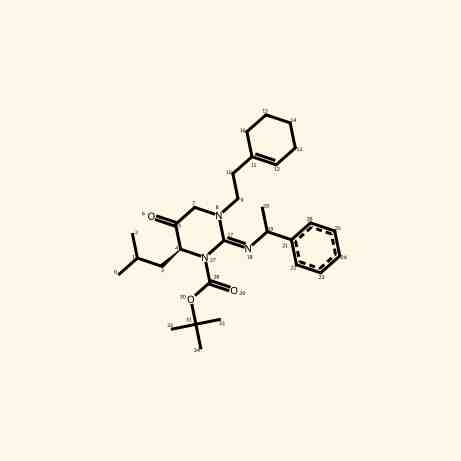 CC(C)C[C@H]1C(=O)CN(CCC2=CCCCC2)C(=NC(C)c2ccccc2)N1C(=O)OC(C)(C)C